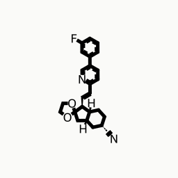 N#C[C@H]1CC[C@@H]2[C@H](C1)CC1(OCCO1)[C@H]2/C=C/c1ccc(-c2cccc(F)c2)cn1